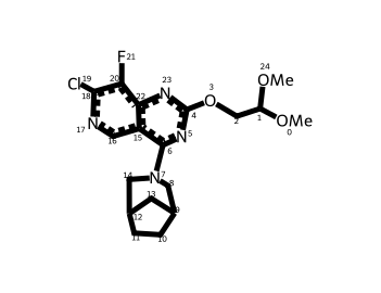 COC(COc1nc(N2CC3CCC(C3)C2)c2cnc(Cl)c(F)c2n1)OC